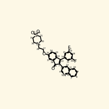 O=C1C(c2cnc3ccccc3c2)=C(c2cc(F)cc(F)c2)c2ccc(OCCN3CCS(=O)(=O)CC3)cc21